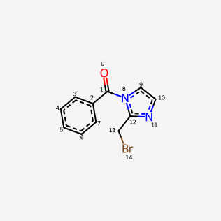 O=C(c1ccccc1)n1ccnc1CBr